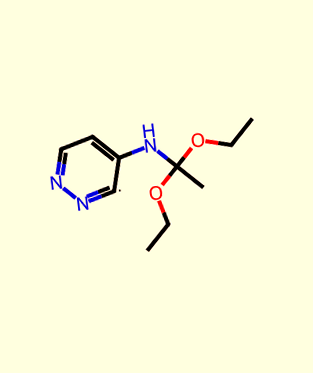 CCOC(C)(Nc1[c]nncc1)OCC